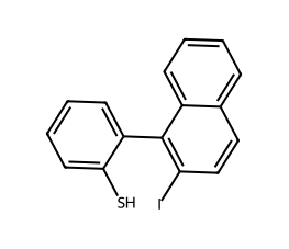 Sc1ccccc1-c1c(I)ccc2ccccc12